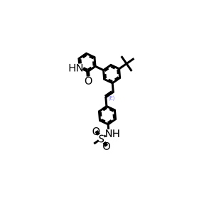 CC(C)(C)c1cc(/C=C/c2ccc(NS(C)(=O)=O)cc2)cc(-c2ccc[nH]c2=O)c1